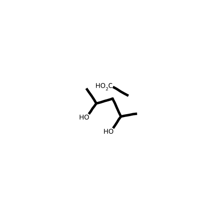 CC(=O)O.CC(O)CC(C)O